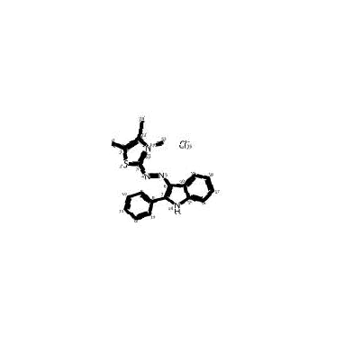 Cc1sc(/N=N/c2c(-c3ccccc3)[nH]c3ccccc23)[n+](C)c1C.[Cl-]